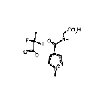 C[n+]1ccc(C(=O)NCC(=O)O)cn1.O=C([O-])C(F)(F)F